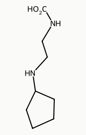 O=C(O)NCCNC1CCCC1